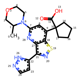 CC1COCCN1c1cc(C2(C(=O)O)CCCC2)c2snc(-c3ccn[nH]3)c2n1